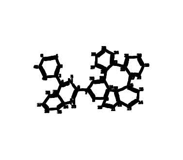 c1ccc(-c2nc(-c3cc4ccc5cccc6c7ccccc7c7ccccc7c(c3)c4c56)nc3ccccc23)cc1